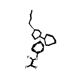 CCCC[C@H]1CC[C@@](c2ccc(OC(F)=C(F)F)cc2)(C2CCCCC2)CC1